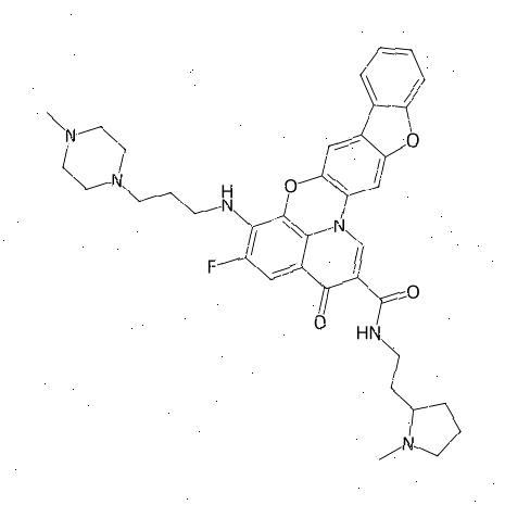 CN1CCN(CCCNc2c(F)cc3c(=O)c(C(=O)NCCC4CCCN4C)cn4c3c2Oc2cc3c(cc2-4)oc2ccccc23)CC1